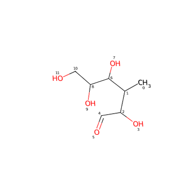 CC(C(O)C=O)C(O)C(O)CO